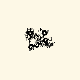 Cn1nc(NS(C)(=O)=O)c2c(Cl)ccc(-n3c([C@H](Cc4cc(F)cc(F)c4)NC(=O)Cn4nc(C(F)F)c5c4C(F)(F)[C@@H]4C[C@H]54)nc4nc(-c5cccc(F)n5)ccc4c3=O)c21